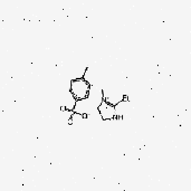 CCC1=[N+](C)CCN1.Cc1ccc(S(=O)(=O)[O-])cc1